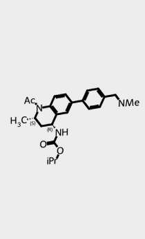 CNCc1ccc(-c2ccc3c(c2)[C@H](NC(=O)OC(C)C)C[C@H](C)N3C(C)=O)cc1